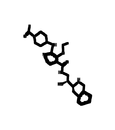 CCOc1c(C(=O)NC[C@@H](O)[C@@H]2Cc3ccccc3CN2)ccnc1NC1CCN(C(C)=O)CC1